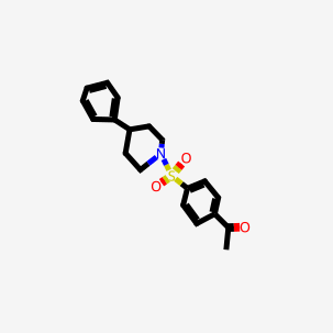 CC(=O)c1ccc(S(=O)(=O)N2CCC(c3ccccc3)CC2)cc1